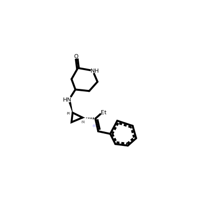 CC/C(=C\c1ccccc1)[C@@H]1C[C@H]1NC1CCNC(=O)C1